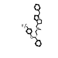 CN(CC[C@@H](Oc1ccc(C(F)(F)F)cc1)c1ccccc1)CC1CCn2c(Cc3ccccc3)ccc21